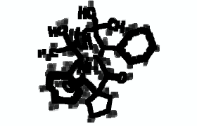 CC(C)(O)[C@@H](c1ccccc1)N(C(=O)C1(C(N)=O)CCCC1)[C@H](c1ccccc1)C(C)(C)O